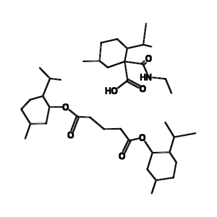 CC1CCC(C(C)C)C(OC(=O)CCCC(=O)OC2CC(C)CCC2C(C)C)C1.CCNC(=O)C1(C(=O)O)CC(C)CCC1C(C)C